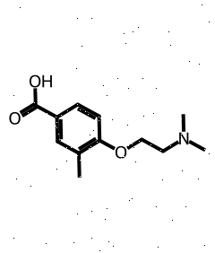 Cc1cc(C(=O)O)ccc1OCCN(C)C